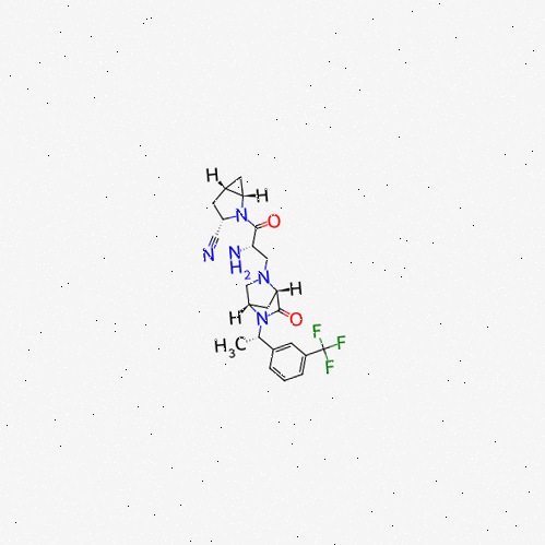 C[C@@H](c1cccc(C(F)(F)F)c1)N1C(=O)[C@@H]2C[C@H]1CN2C[C@H](N)C(=O)N1[C@H](C#N)C[C@@H]2C[C@@H]21